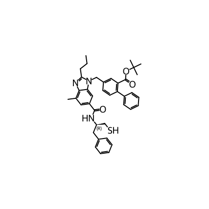 CCCc1nc2c(C)cc(C(=O)N[C@@H](CS)Cc3ccccc3)cc2n1Cc1ccc(-c2ccccc2)c(C(=O)OC(C)(C)C)c1